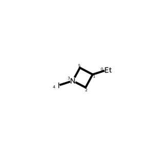 CCC1CN(I)C1